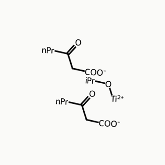 CC(C)[O][Ti+2].CCCC(=O)CC(=O)[O-].CCCC(=O)CC(=O)[O-]